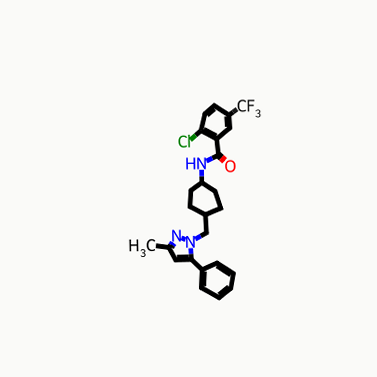 Cc1cc(-c2ccccc2)n(CC2CCC(NC(=O)c3cc(C(F)(F)F)ccc3Cl)CC2)n1